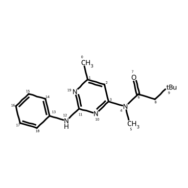 Cc1cc(N(C)C(=O)CC(C)(C)C)nc(Nc2ccccc2)n1